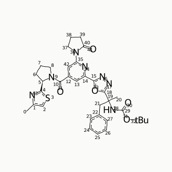 Cc1csc([C@H]2CCCN2C(=O)c2cc(-c3nnc(C(C)(Cc4ccccc4)NC(=O)OC(C)(C)C)o3)nc(N3CCCC3=O)c2)n1